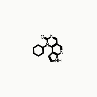 O=c1ncc2cnc3[nH]ccc3c2n1C1CCCCC1